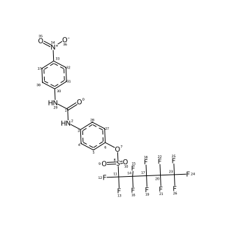 O=C(Nc1ccc(OS(=O)(=O)C(F)(F)C(F)(F)C(F)(F)C(F)(F)C(F)(F)F)cc1)Nc1ccc([N+](=O)[O-])cc1